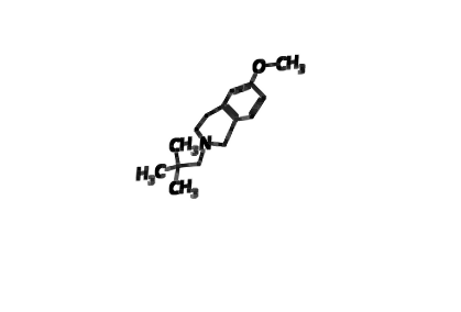 COc1ccc2c(c1)CCN(CC(C)(C)C)C2